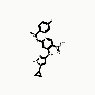 C[C@H](Nc1cc(Nc2cc(C3CC3)[nH]n2)c([N+](=O)[O-])cn1)c1ccc(F)cc1